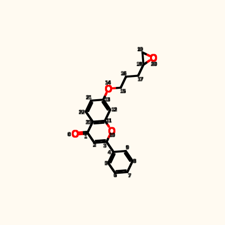 O=c1cc(-c2ccccc2)oc2cc(OCCCC3CO3)ccc12